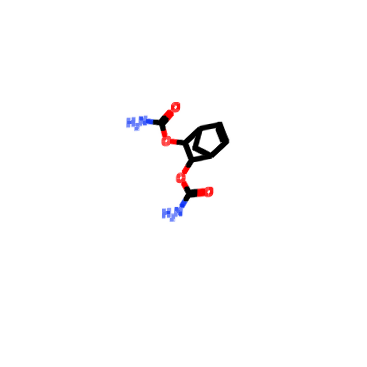 NC(=O)OC1C2C=CC(C2)C1OC(N)=O